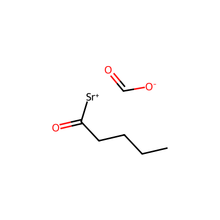 CCCC[C](=O)[Sr+].O=C[O-]